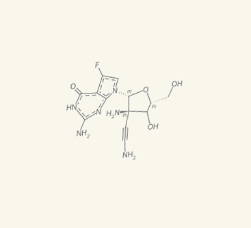 NC#C[C@@]1(N)C(O)[C@@H](CO)O[C@H]1n1cc(F)c2c(=O)[nH]c(N)nc21